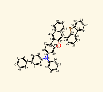 c1ccc(-c2ccc(N(c3ccccc3)c3ccc4c(c3)oc3c(-c5cccc6c5sc5ccccc56)c5ccccc5cc34)cc2)cc1